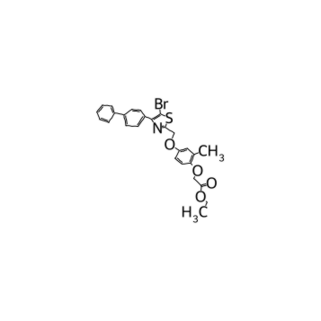 CCOC(=O)COc1ccc(OCc2nc(-c3ccc(-c4ccccc4)cc3)c(Br)s2)cc1C